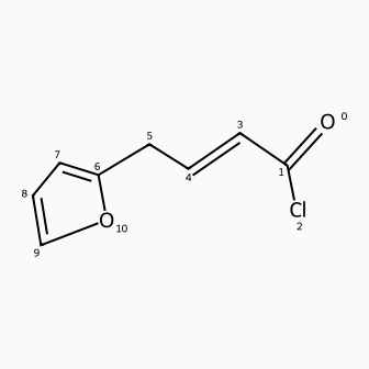 O=C(Cl)C=CCc1ccco1